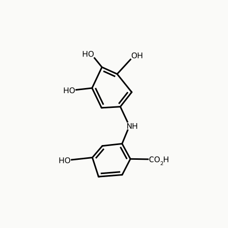 O=C(O)c1ccc(O)cc1Nc1cc(O)c(O)c(O)c1